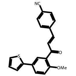 COc1ccc(-c2cccs2)cc1C(=O)C=Cc1ccc(C#N)cc1